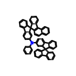 c1ccc(N(c2ccc3c(c2)C2(c4ccccc4-c4ccccc42)c2ccccc2-3)c2ccc3c(c2)C2(c4ccccc4-3)c3ccccc3-c3c2ccc2ccccc32)cc1